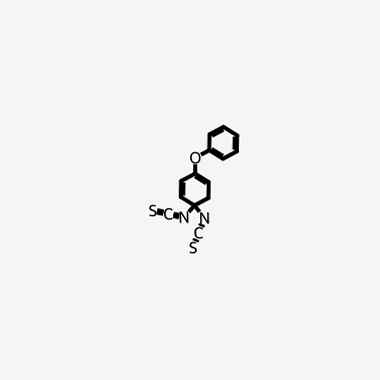 S=C=NC1(N=C=S)C=CC(Oc2ccccc2)=CC1